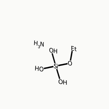 CCO[Si](O)(O)O.N